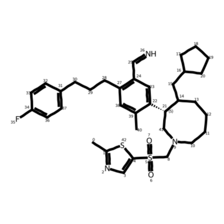 Cc1ncc(S(=O)(=O)CN2CCCCC(CC3CCCC3)[C@@H](c3cc(C=N)c(CCCc4ccc(F)cc4)cc3C)C2)s1